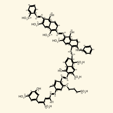 CC/C(=C\C(=C/c1cc(O)cc(S(=O)(=O)O)c1)S(=O)(=O)O)N=Nc1cc(OCCCS(=O)(=O)O)c(N=Nc2c(S(=O)(=O)O)cc3c(S(=O)(=O)O)c(N=Nc4c(Nc5ccccc5)ccc5c(O)c(N=Nc6ccc7c(O)c(N=Nc8ccccc8S(=O)(=O)O)c(S(=O)(=O)O)cc7c6S(=O)(=O)O)c(S(=O)(=O)O)cc45)ccc3c2O)cc1C